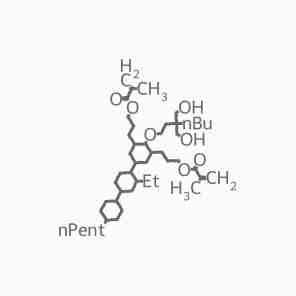 C=C(C)C(=O)OCCCC1CC(C2CCC(C3CCC(CCCCC)CC3)CC2CC)CC(CCCOC(=O)C(=C)C)C1OCCC(CO)(CO)CCCC